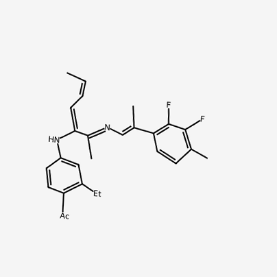 C\C=C/C=C(Nc1ccc(C(C)=O)c(CC)c1)\C(C)=N\C=C(/C)c1ccc(C)c(F)c1F